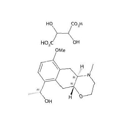 COc1ccc([C@@H](C)O)c2c1C[C@@H]1[C@@H](C2)OCCN1C.O=C(O)C(O)C(O)C(=O)O